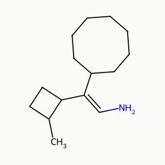 CC1CCC1/C(=C/N)C1CCCCCCC1